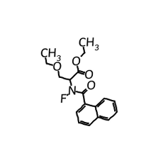 CCOCC(C(=O)OCC)N(F)C(=O)c1cccc2ccccc12